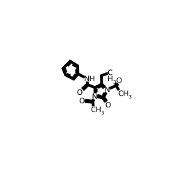 CCc1c(C(=O)Nc2ccccc2)n(C(C)=O)c(=O)n1C(C)=O